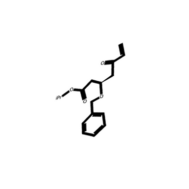 C=CC(=O)C[C@H](CC(=O)OC(C)C)OCc1ccccc1